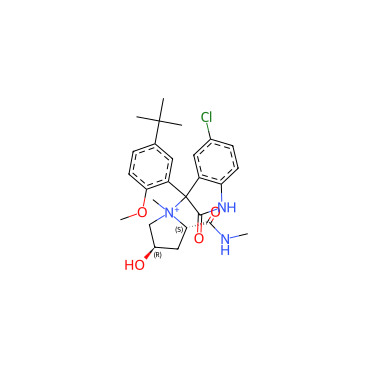 CNC(=O)[C@@H]1C[C@@H](O)C[N+]1(C)C1(c2cc(C(C)(C)C)ccc2OC)C(=O)Nc2ccc(Cl)cc21